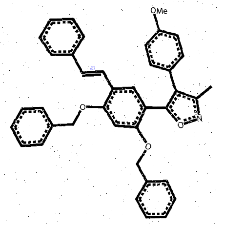 COc1ccc(-c2c(C)noc2-c2cc(/C=C/c3ccccc3)c(OCc3ccccc3)cc2OCc2ccccc2)cc1